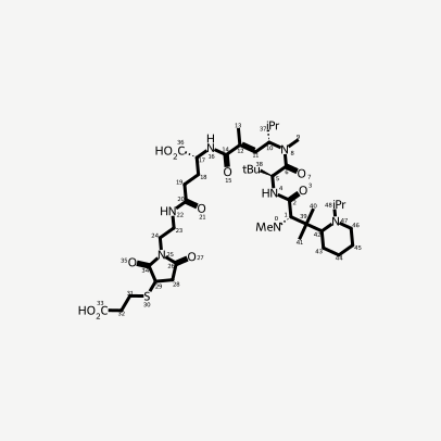 CN[C@H](C(=O)N[C@H](C(=O)N(C)[C@H](/C=C(\C)C(=O)N[C@H](CCC(=O)NCCN1C(=O)CC(SCCC(=O)O)C1=O)C(=O)O)C(C)C)C(C)(C)C)C(C)(C)C1CCCCN1C(C)C